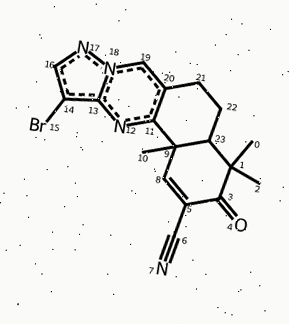 CC1(C)C(=O)C(C#N)=CC2(C)c3nc4c(Br)cnn4cc3CCC12